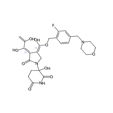 C=C(O)/C(O)=C1/C(=O)N(C2(O)CCC(=O)NC2=O)C/C1=C(/O)OCc1ccc(CN2CCOCC2)cc1F